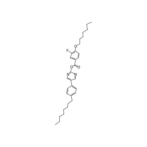 CCCCCCCCc1ccc(-c2cnc(OC(=O)c3ccc(OCCCCCCC)c(F)c3)nc2)cc1